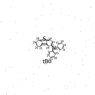 CC(C)(C)c1ccc(N(c2ccccc2)c2ccc3sc4ccccc4c3c2)cc1